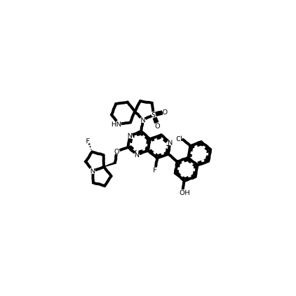 O=S1(=O)CCC2(CCCNC2)N1c1nc(OC[C@@]23CCCN2C[C@H](F)C3)nc2c(F)c(-c3cc(O)cc4cccc(Cl)c34)ncc12